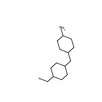 NC1CCC(CC2CCC(CI)CC2)CC1